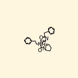 O=C(NCCc1ccccc1)N1CCCC[C@H]1c1noc(Cc2ccccc2)n1